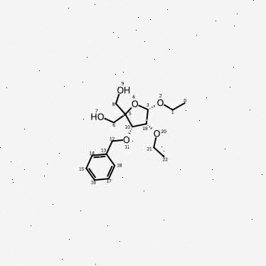 CCO[C@H]1OC(CO)(CO)[C@@H](OCc2ccccc2)[C@H]1OCC